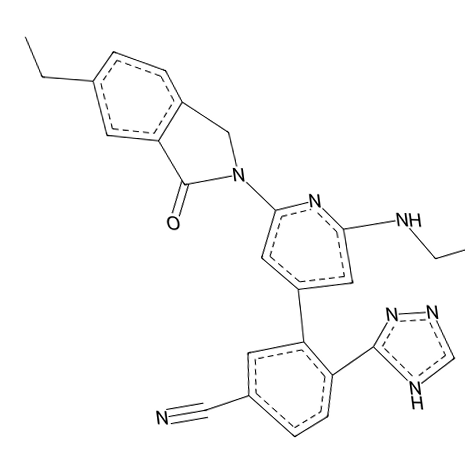 CCNc1cc(-c2cc(C#N)ccc2-c2nnc[nH]2)cc(N2Cc3ccc(CC)cc3C2=O)n1